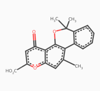 Cc1cc2oc(C(=O)O)cc(=O)c2c2c1-c1ccccc1C(C)(C)O2